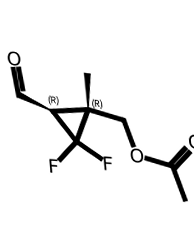 CC(=O)OC[C@@]1(C)[C@H](C=O)C1(F)F